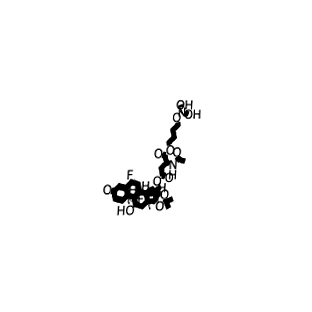 CC(=O)NC(CC(=O)OCC(=O)[C@@]12OC(C)(C)O[C@@H]1C[C@H]1[C@@H]3C[C@H](F)C4=CC(=O)C=C[C@]4(C)[C@@]3(F)[C@@H](O)C[C@@]12C)C(=O)OCCCCON(O)O